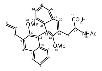 C=CCc1cc2ccccc2c(-c2c(OC)c(CC(NC(C)=O)C(=O)O)cc3ccccc23)c1OC